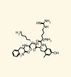 Cc1cc(O)cc(C)c1C[C@H](NC(=O)[C@H](N)CCCNC(=N)N)C(=O)N[C@@H](CCCCN)C(=O)NC(Cc1ccccc1)C(N)=O